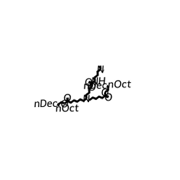 CCCCCCCCCCC(CCCCCCCC)COC(=O)CCCCCN(CCCCCC(=O)OCC(CCCCCCCC)CCCCCCCCCC)CCCOC(=O)NCCCN(C)C